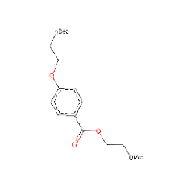 CCCCCCCCCCCCOc1ccc(C(=O)OCCOC)cc1